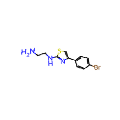 NCCNc1nc(-c2ccc(Br)cc2)cs1